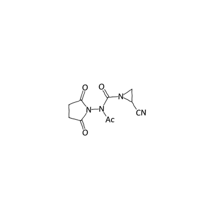 CC(=O)N(C(=O)N1CC1C#N)N1C(=O)CCC1=O